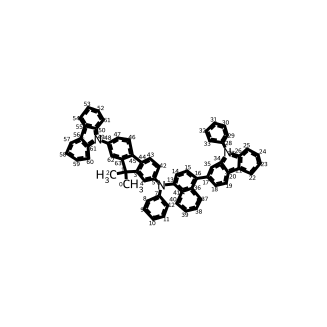 CC1(C)c2cc(N(c3ccccc3)c3ccc(-c4ccc5c6ccccc6n(-c6ccccc6)c5c4)c4ccccc34)ccc2-c2ccc(-n3c4ccccc4c4ccccc43)cc21